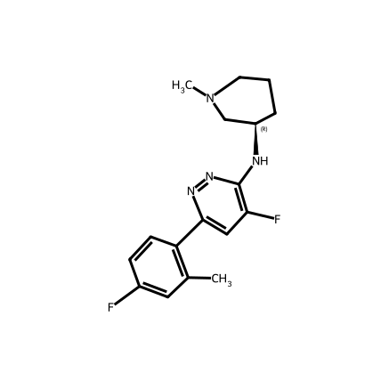 Cc1cc(F)ccc1-c1cc(F)c(N[C@@H]2CCCN(C)C2)nn1